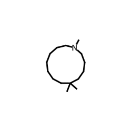 CN1CCCCCCCC(C)(C)CCCC1